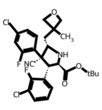 CC1(C[C@@H]2N[C@@H](C(=O)OC(C)(C)C)[C@H](c3cccc(Cl)c3F)[C@@]2(C#N)c2ccc(Cl)cc2F)COC1